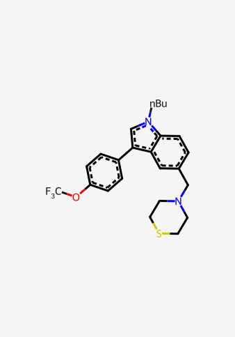 CCCCn1cc(-c2ccc(OC(F)(F)F)cc2)c2cc(CN3CCSCC3)ccc21